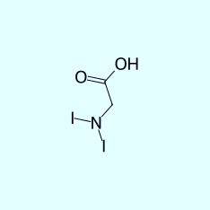 O=C(O)CN(I)I